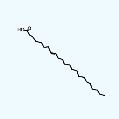 CCCCCCCCCCCCCCC=CCCCCCCC(=O)O